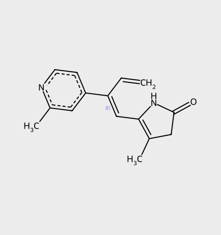 C=C/C(=C\C1=C(C)CC(=O)N1)c1ccnc(C)c1